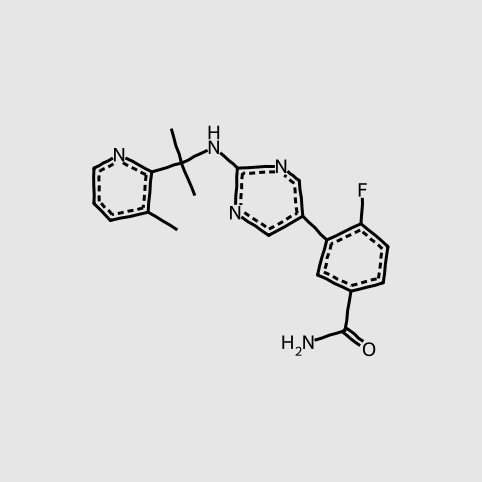 Cc1cccnc1C(C)(C)Nc1ncc(-c2cc(C(N)=O)ccc2F)cn1